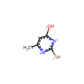 Cc1[c]c(O)nc(S)n1